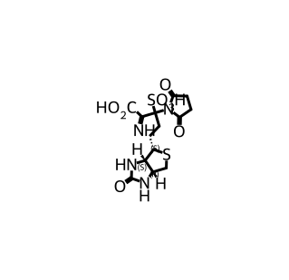 N=C(C(=O)O)C(CC[C@@H]1SC[C@@H]2NC(=O)N[C@@H]21)(N1C(=O)CCC1=O)S(=O)(=O)O